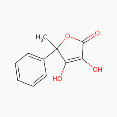 CC1(c2ccccc2)OC(=O)C(O)=C1O